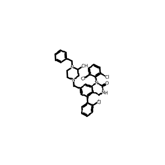 CC1CN(Cc2cc(-c3ccccc3Cl)c3c(c2)N(c2c(Cl)cccc2Cl)C(=O)NC3)CCN1Cc1ccccc1